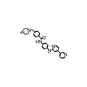 CN1CCN(Cc2ccc(C(=O)Nc3ccc(N(C)c4cc(-c5cccnc5)ccn4)cc3)cc2)CC1